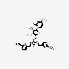 Nc1ccn([C@@H]2O[C@H](COP(=O)(OCc3cnc([N+](=O)[O-])s3)OCc3cnc([N+](=O)[O-])s3)[C@H](O)[C@@H]2O)c(=O)n1